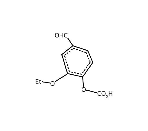 CCOc1cc(C=O)ccc1OC(=O)O